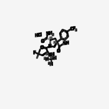 Cl.[2H]C([2H])([2H])N[C@@H](CC(C)(C)F)C(=O)N1C[C@]2(C[C@H]1C(N)=O)C(=O)Nc1cc(C(F)(F)F)ccc12